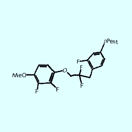 CCCCCc1ccc(CC(F)(F)COc2ccc(OC)c(F)c2F)c(F)c1